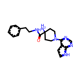 NC1(C(=O)NCCc2ccccc2)CCN(c2ncnc3[nH]ccc23)CC1